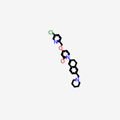 O=c1cc(OCc2ccc(Cl)cn2)ccn1C1=Cc2ccc(CN3CCCCC3)cc2CC1